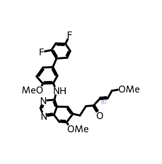 COC/C=C/C(=O)CCc1cc2c(Nc3cc(-c4ccc(F)cc4F)ccc3OC)ncnc2cc1OC